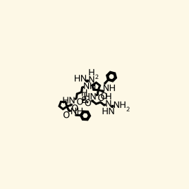 N=C(N)NCCCC(NC(=O)C1(C(=O)NCc2ccccc2)CCCC1)OBOC(CCCNC(=N)N)NC(=O)C1(C(=O)NCc2ccccc2)CCCC1